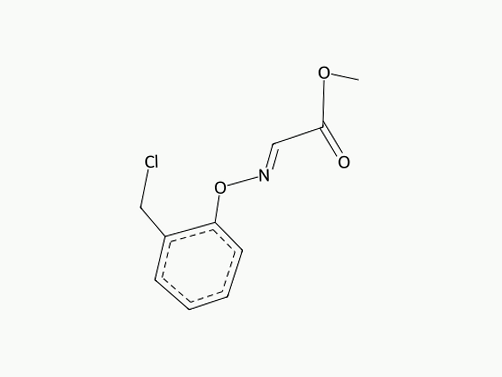 COC(=O)C=NOc1ccccc1CCl